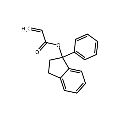 C=CC(=O)OC1(c2ccccc2)CCc2ccccc21